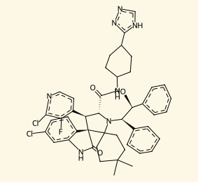 CC1(C)CCC2(CC1)N([C@H](c1ccccc1)[C@@H](O)c1ccccc1)[C@@H](C(=O)NC1CCC(c3nnc[nH]3)CC1)[C@H](c1ccnc(Cl)c1F)[C@@]21C(=O)Nc2cc(Cl)ccc21